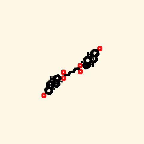 C[C@]12CC[C@H]3[C@@H](CCC4=CC(=O)CC[C@@]43C)[C@@H]1CC[C@@H]2OC(=O)CCCCC(=O)O[C@H]1CC[C@H]2[C@@H]3CCC4=CC(=O)CC[C@]4(C)[C@H]3CC[C@]12C